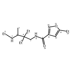 CCNC(C)C(CC)(CC)CNC(=O)c1cc(CC)on1